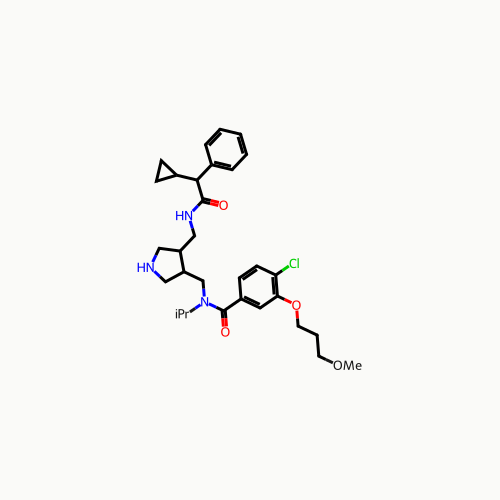 COCCCOc1cc(C(=O)N(CC2CNCC2CNC(=O)C(c2ccccc2)C2CC2)C(C)C)ccc1Cl